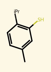 Cc1ccc(C(C)C)c(S)c1